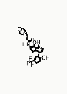 O=C(CCN1CCOCC1)Nc1ccc2c(-c3cc(C(F)(F)F)ccc3O)ccnc2c1O